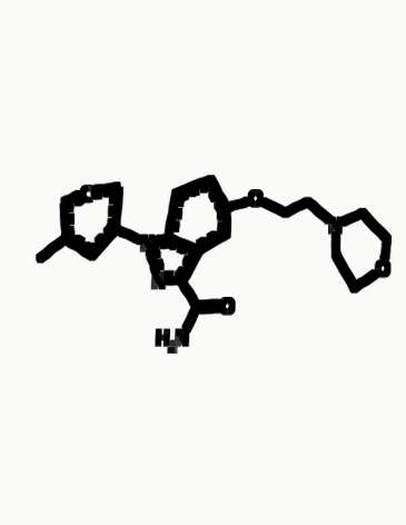 Cc1cccc(-n2nc(C(N)=O)c3cc(OCCN4CCOCC4)ccc32)c1